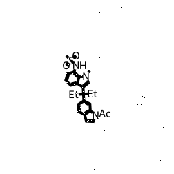 CCC(CC)(c1ccc2ccn(C(C)=O)c2c1)c1cn(C)c2c(NS(C)(=O)=O)cccc12